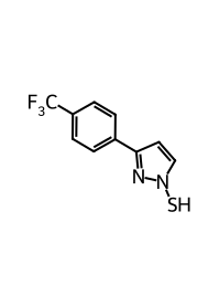 FC(F)(F)c1ccc(-c2ccn(S)n2)cc1